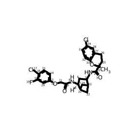 CC1(C(=O)NC2C[C@H](NC(=O)COc3ccc(Cl)c(F)c3)C3CC2C3)CCc2cc(Cl)ccc2O1